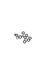 c1ccc(-c2ccc(-c3ccccc3N(c3ccc4oc5cnccc5c4c3)c3ccc4c5ccccc5c5ccccc5c4c3)cc2)cc1